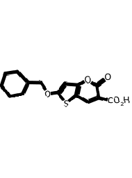 O=C(O)c1cc2sc(OCC3CCCCC3)cc2oc1=O